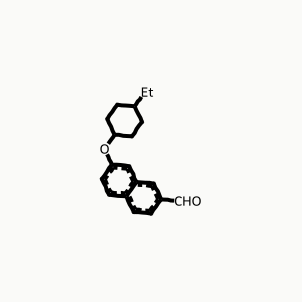 CCC1CCC(Oc2ccc3ccc(C=O)cc3c2)CC1